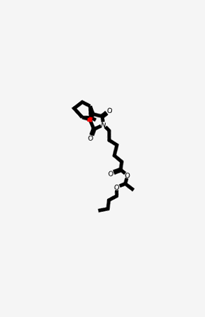 CCCCOC(C)OC(=O)CCCCCN1C(=O)C2C3CCC(C3C)C2C1=O